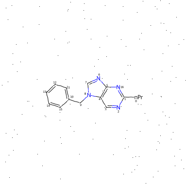 CCCc1n[c]c2c(ncn2Cc2ccccc2)n1